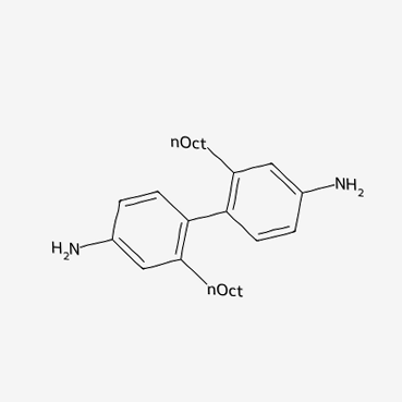 CCCCCCCCc1cc(N)ccc1-c1ccc(N)cc1CCCCCCCC